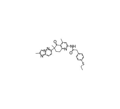 CCSc1ccc(CC(=O)Nc2cc(C)c3c(n2)CCC(C)(c2ccc4nc(C)cn4n2)C3=O)cc1